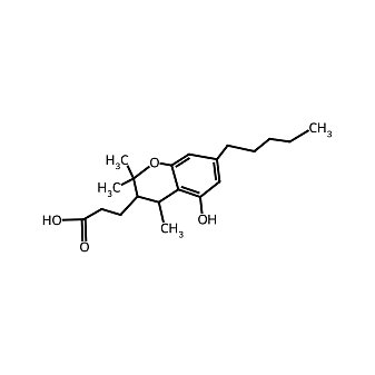 CCCCCc1cc(O)c2c(c1)OC(C)(C)C(CCC(=O)O)C2C